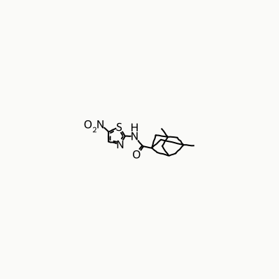 CC12CC3CC(C)(C1)CC(C(=O)Nc1ncc([N+](=O)[O-])s1)(C3)C2